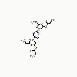 C=CC(=O)OC(COC(=O)/C=C\C(=O)OCC(OC(=O)C=C)OC(=O)C=C)OC(=O)C=C